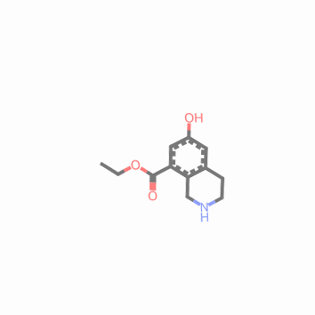 CCOC(=O)c1cc(O)cc2c1CNCC2